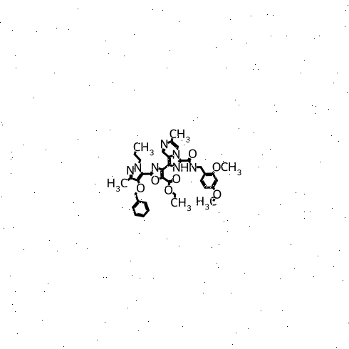 CCCn1nc(C)c(OCc2ccccc2)c1-c1nc(-c2nc(C(=O)NCc3ccc(OC)cc3OC)n3cc(C)ncc23)c(C(=O)OCC)o1